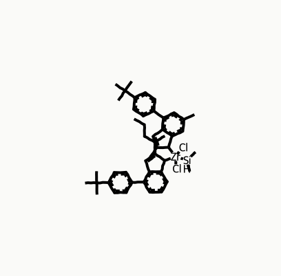 CCCC(C)C1=Cc2c(-c3ccc(C(C)(C)C)cc3)cccc2[CH]1[Zr]([Cl])([Cl])([CH]1C(C)=Cc2c(-c3ccc(C(C)(C)C)cc3)cc(C)cc21)[SiH](C)C